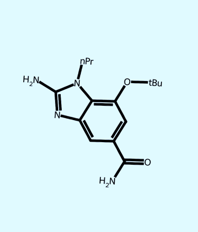 CCCn1c(N)nc2cc(C(N)=O)cc(OC(C)(C)C)c21